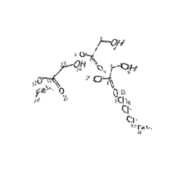 O=C([O-])CO.O=C([O-])CO.O=C([O-])CO.[Cl-].[Cl-].[Cl-].[Fe+3].[Fe+3]